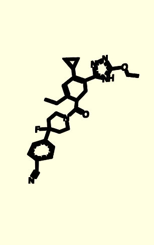 CCOc1nnc(C2=C(C3CC3)C=C(CC)C(C(=O)N3CCC(F)(c4ccc(C#N)cc4)CC3)C2)[nH]1